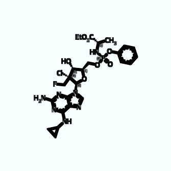 CCOC(=O)[C@H](C)N[P@@](=O)(OC[C@H]1O[C@@H](n2cnc3c(NC4CC4)nc(N)nc32)[C@@](Cl)(CF)[C@@H]1O)Oc1ccccc1